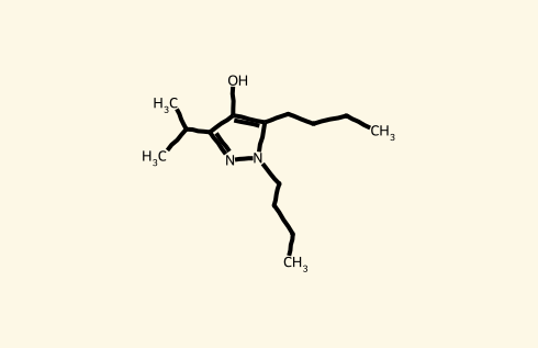 CCCCc1c(O)c(C(C)C)nn1CCCC